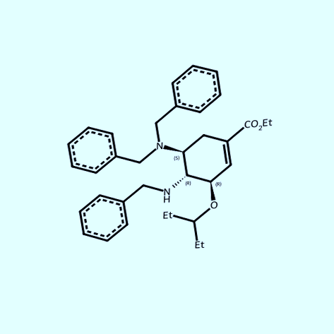 CCOC(=O)C1=C[C@@H](OC(CC)CC)[C@H](NCc2ccccc2)[C@@H](N(Cc2ccccc2)Cc2ccccc2)C1